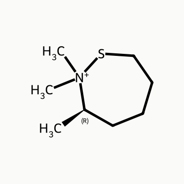 C[C@@H]1CCCCS[N+]1(C)C